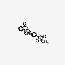 CN1C(=O)SC(c2ccc(OCC3NC(=O)c4ccccc4N3C)cc2)C1=O